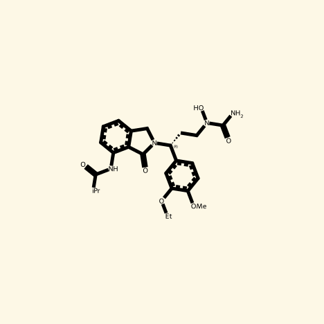 CCOc1cc([C@@H](CCN(O)C(N)=O)N2Cc3cccc(NC(=O)C(C)C)c3C2=O)ccc1OC